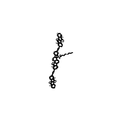 CCCCCCCCn1c2cc(C#Cc3ccc4c(c3)sc3c5ccccc5sc43)ccc2c2ccc3c(ccc4c5ccc(C#Cc6ccc7c(c6)sc6c8ccccc8sc76)cc5sc43)c21